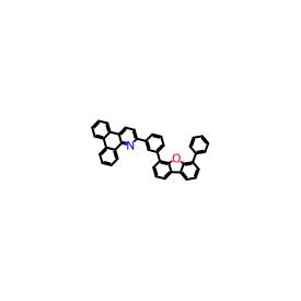 c1ccc(-c2cccc3c2oc2c(-c4cccc(-c5ccc6c7ccccc7c7ccccc7c6n5)c4)cccc23)cc1